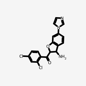 NC1c2ccc(-n3ccnc3)cc2OC1C(=O)c1ccc(Cl)cc1Cl